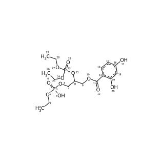 CCOP(=O)(O)OCC(COC(=O)c1ccc(O)cc1O)OP(=O)(OCC)OCC